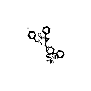 CN(Cc1ccc(F)cc1)C(=O)[C@@]1(c2ccccc2)C[C@H]1CN1CCC(NS(C)(=O)=O)(c2ccccc2)CC1